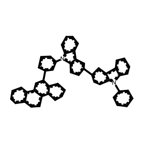 c1ccc(-n2c3ccccc3c3cc(-c4ccc5c(c4)c4ccccc4n5-c4cccc(-c5cc6c7ccccc7ccc6c6ccccc56)c4)ccc32)cc1